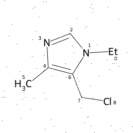 CCn1cnc(C)c1CCl